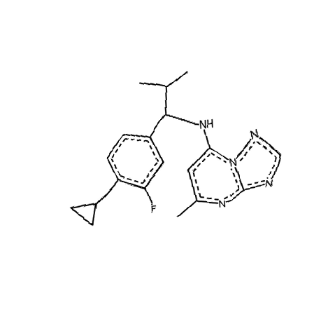 Cc1cc(NC(c2ccc(C3CC3)c(F)c2)C(C)C)n2ncnc2n1